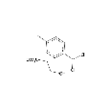 CCOC(=O)CCO.Cc1ccc(C(Cl)Cl)cc1